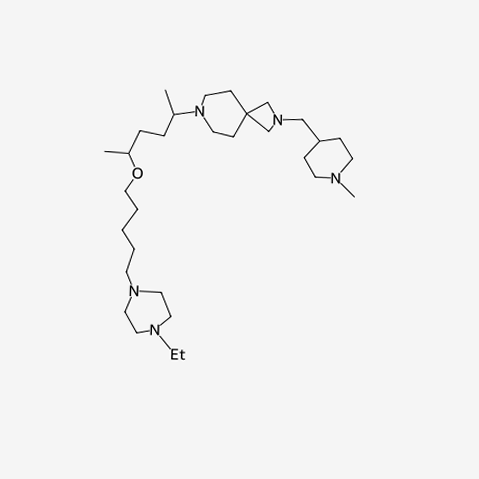 CCN1CCN(CCCCCOC(C)CCC(C)N2CCC3(CC2)CN(CC2CCN(C)CC2)C3)CC1